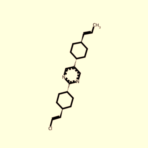 C/C=C/[C@H]1CC[C@H](c2cnc([C@H]3CC[C@H](/C=C/Cl)CC3)nc2)CC1